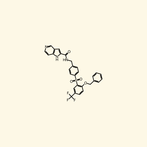 O=C(NCc1ccc(S(=O)(=O)c2cc(C(F)(F)F)ccc2OCc2ccccc2)cc1)c1cc2cnccc2[nH]1